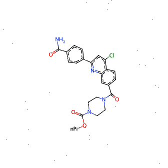 CCCOC(=O)N1CCN(C(=O)c2ccc3c(Cl)cc(-c4ccc(C(N)=O)cc4)nc3c2)CC1